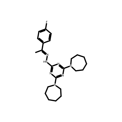 C/C(=N\Nc1nc(N2CCCCCC2)nc(N2CCCCCC2)n1)c1ccc(F)cc1